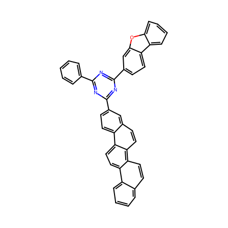 c1ccc(-c2nc(-c3ccc4c(ccc5c4ccc4c6ccccc6ccc45)c3)nc(-c3ccc4c(c3)oc3ccccc34)n2)cc1